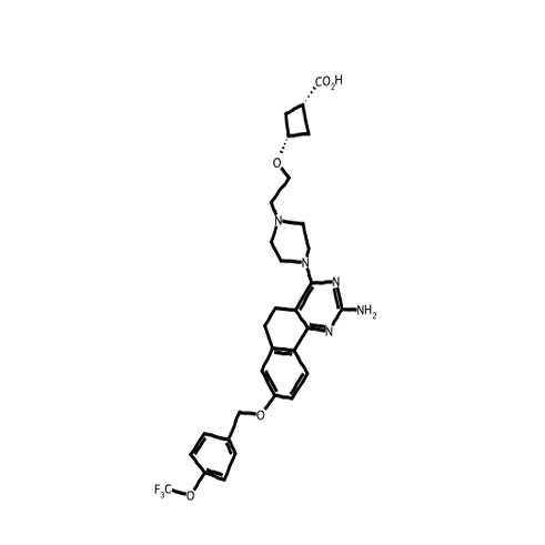 Nc1nc2c(c(N3CCN(CCO[C@H]4C[C@@H](C(=O)O)C4)CC3)n1)CCc1cc(OCc3ccc(OC(F)(F)F)cc3)ccc1-2